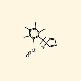 Cc1c(C)c(C)c(C(C)(C)[C]2([Ti+3])C=CC=C2)c(C)c1C.[Cl-].[Cl-].[Cl-]